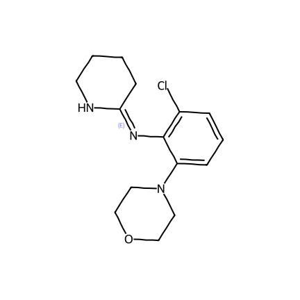 Clc1cccc(N2CCOCC2)c1/N=C1\CCCCN1